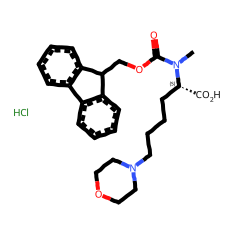 CN(C(=O)OCC1c2ccccc2-c2ccccc21)[C@@H](CCCCN1CCOCC1)C(=O)O.Cl